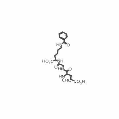 O=CNC(CCC(=O)O)C(=O)NCC(=O)NC(CCCCNC(=O)c1ccccc1)C(=O)O